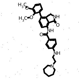 COc1cccc(-c2ccc(NC(=O)c3ccc(NCCN4CCCCCC4)cc3)c3c2CNC3=O)c1OC